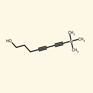 C[Si](C)(C)C#CC#CCCCO